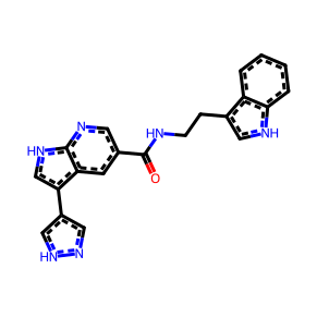 O=C(NCCc1c[nH]c2ccccc12)c1cnc2[nH]cc(-c3cn[nH]c3)c2c1